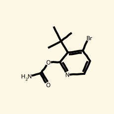 CC(C)(C)c1c(Br)ccnc1OC(N)=O